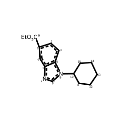 CCOC(=O)c1ccc2c(c1)n[c]n2C1CCCCC1